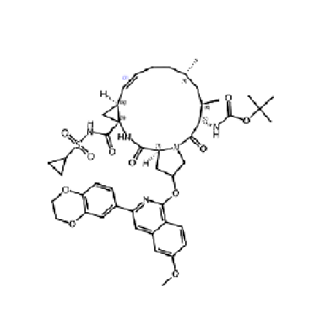 COc1ccc2c(OC3C[C@H]4C(=O)N[C@]5(C(=O)NS(=O)(=O)C6CC6)C[C@H]5/C=C\CC[C@H](C)C[C@@H](C)[C@H](NC(=O)OC(C)(C)C)C(=O)N4C3)nc(-c3ccc4c(c3)OCCO4)cc2c1